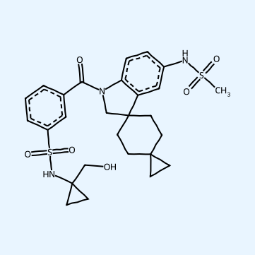 CS(=O)(=O)Nc1ccc2c(c1)C1(CCC3(CC3)CC1)CN2C(=O)c1cccc(S(=O)(=O)NC2(CO)CC2)c1